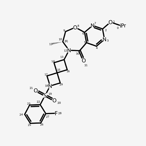 CC(C)Oc1ncc2c(n1)OC[C@@H](C)N(C1CC3(C1)CN(S(=O)(=O)c1ccccc1F)C3)C2=O